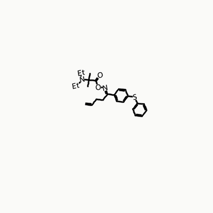 C=CCC/C(=N\OC(=O)C(C)(C)N(CC)CC)c1ccc(Sc2ccccc2)cc1